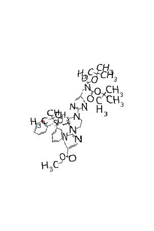 CCOC(=O)c1cnc(N2CCN(c3ncc(CN(C(=O)OC(C)(C)C)C(=O)OC(C)(C)C)cn3)C[C@@H]2CO[Si](c2ccccc2)(c2ccccc2)C(C)(C)C)nc1